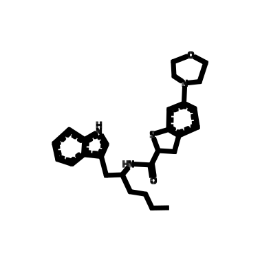 CCCCC(Cc1c[nH]c2ccccc12)NC(=O)C1Cc2ccc(N3CCOCC3)cc2S1